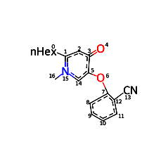 CCCCCCc1cc(=O)c(Oc2ccccc2C#N)cn1C